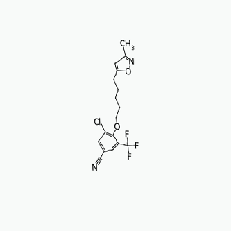 Cc1cc(CCCCCOc2c(Cl)cc(C#N)cc2C(F)(F)F)on1